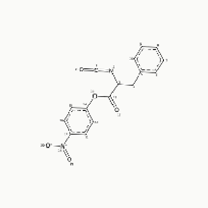 O=C=NC(Cc1ccccc1)C(=O)Oc1ccc([N+](=O)[O-])cc1